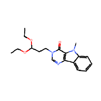 CCOC(CCn1cnc2c3ccccc3n(C)c2c1=O)OCC